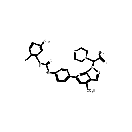 NC(=O)C(N1CCOCC1)n1ncc2c(C(=O)O)cc(-c3ccc(NC(=O)Nc4cc(C(F)(F)F)ccc4F)cc3)nc21